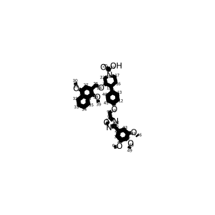 COc1cc(-c2noc(COc3ccc(C4CCN(C(=O)O)CC4OCc4cc(OC)c5ccccc5c4OC)cc3)n2)cc(OC)c1OC